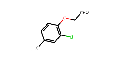 Cc1ccc(OCC=O)c(Cl)c1